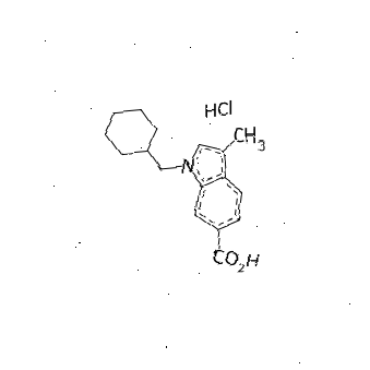 Cc1cn(CC2CCCCC2)c2cc(C(=O)O)ccc12.Cl